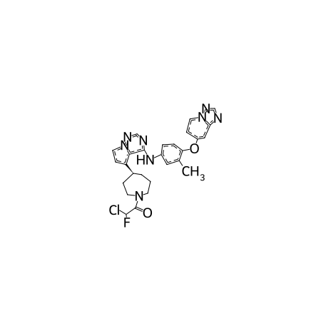 Cc1cc(Nc2ncnn3ccc([C@H]4CCCN(C(=O)C(F)Cl)CC4)c23)ccc1Oc1ccn2ncnc2c1